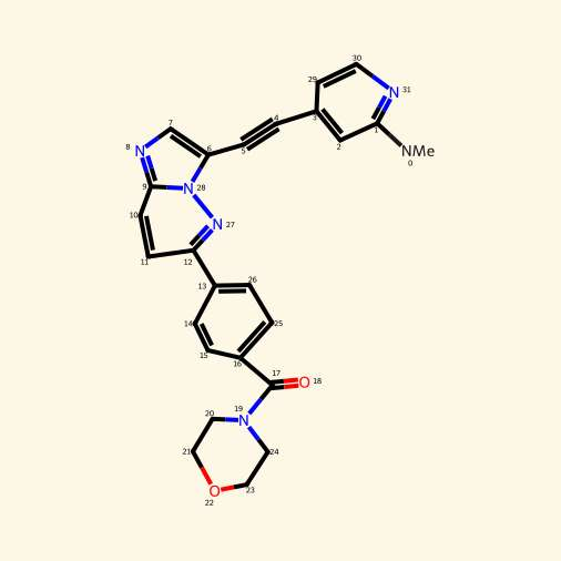 CNc1cc(C#Cc2cnc3ccc(-c4ccc(C(=O)N5CCOCC5)cc4)nn23)ccn1